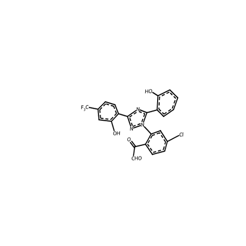 O=CC(=O)c1ccc(Cl)cc1-n1nc(-c2ccc(C(F)(F)F)cc2O)nc1-c1ccccc1O